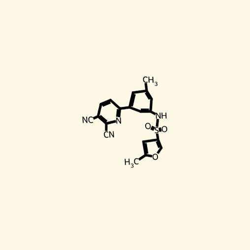 Cc1cc(NS(=O)(=O)c2coc(C)c2)cc(-c2ccc(C#N)c(C#N)n2)c1